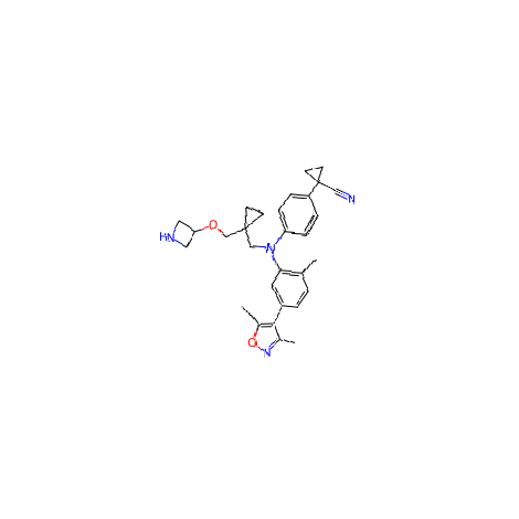 Cc1ccc(-c2c(C)noc2C)cc1N(CC1(COC2CNC2)CC1)c1ccc(C2(C#N)CC2)cc1